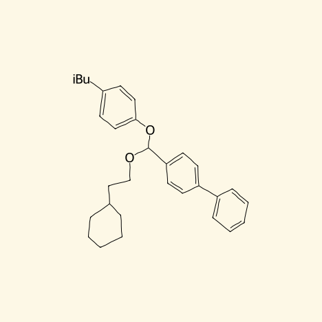 CCC(C)c1ccc(OC(OCCC2CCCCC2)c2ccc(-c3ccccc3)cc2)cc1